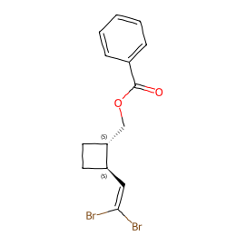 O=C(OC[C@H]1CC[C@@H]1C=C(Br)Br)c1ccccc1